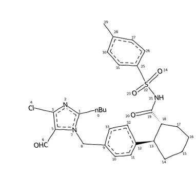 CCCCc1nc(Cl)c(C=O)n1Cc1ccc([C@@H]2CCCC[C@H]2C(=O)NS(=O)(=O)c2ccc(C)cc2)cc1